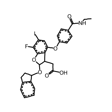 CCNC(=O)c1ccc(Oc2cc(I)c(F)c3c2C(CC(=O)O)C(OC2CCc4ccccc42)O3)cc1